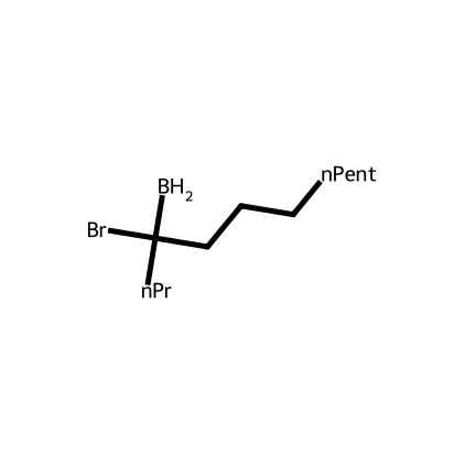 BC(Br)(CCC)CCCCCCCC